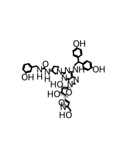 O=C(NCc1cccc(O)c1)N[C@@H]1CCN(c2nc(NCC(c3ccc(O)cc3)c3ccc(O)cc3)c3ncn([C@@H]4O[C@H](c5cc(CO)no5)[C@@H](O)[C@H]4O)c3n2)C1